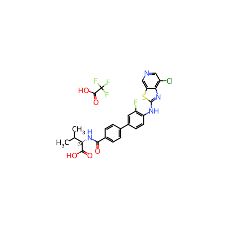 CC(C)[C@H](NC(=O)c1ccc(-c2ccc(Nc3nc4c(Cl)cncc4s3)c(F)c2)cc1)C(=O)O.O=C(O)C(F)(F)F